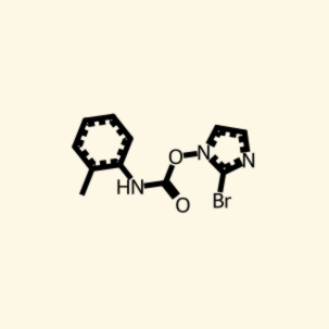 Cc1ccccc1NC(=O)On1ccnc1Br